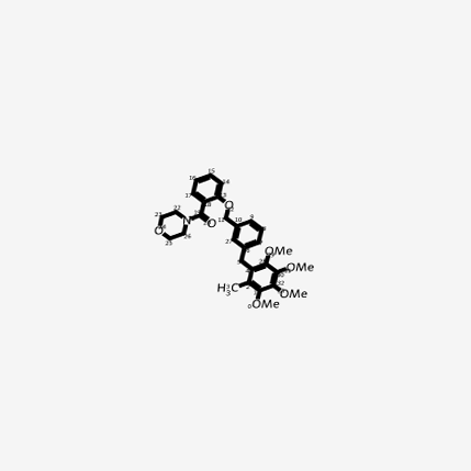 COc1c(C)c(Cc2cccc(COc3ccccc3C(=O)N3CCOCC3)c2)c(OC)c(OC)c1OC